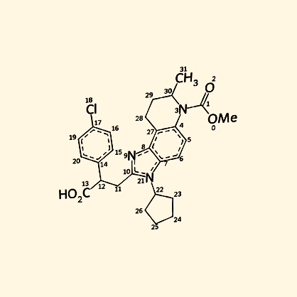 COC(=O)N1c2ccc3c(nc(CC(C(=O)O)c4ccc(Cl)cc4)n3C3CCCC3)c2CCC1C